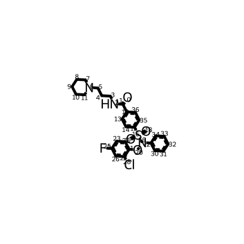 O=C(NCCCN1CCCCC1)c1ccc(S(=O)(=O)N(Oc2ccc(F)cc2Cl)c2ccccc2)cc1